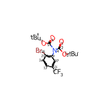 CC(C)(C)OC(=O)N(C(=O)OC(C)(C)C)c1cc(C(F)(F)F)ccc1Br